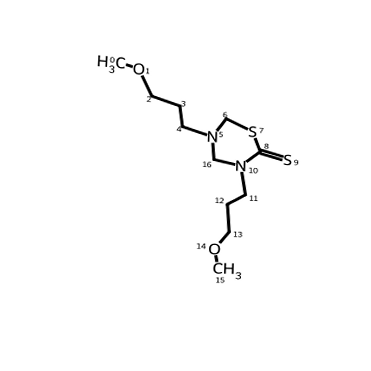 COCCCN1CSC(=S)N(CCCOC)C1